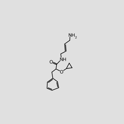 NCC=CCNC(=O)C(Cc1ccccc1)OC1CC1